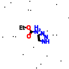 CCOC(N)=O.c1c[nH]nn1